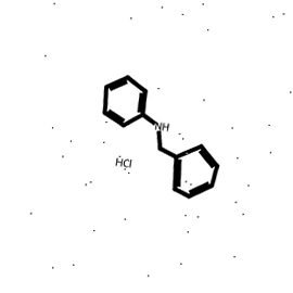 Cl.c1ccc(CNc2ccccc2)cc1